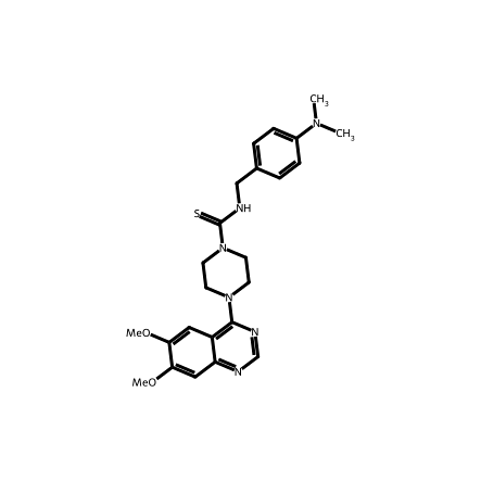 COc1cc2ncnc(N3CCN(C(=S)NCc4ccc(N(C)C)cc4)CC3)c2cc1OC